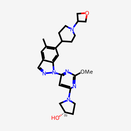 COc1nc(N2CC[C@H](O)C2)cc(-n2ncc3cc(C)c(C4CCN(C5COC5)CC4)cc32)n1